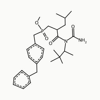 COP(=O)(Cc1ccc(Cc2ccccc2)cc1)CC(CC(C)C)C(=O)N(C(N)=O)C(C)C(C)(C)C